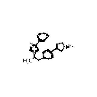 CC(C)N1CCC(c2ccc(CC(C)n3cnc(-c4ccccc4)c3)cc2)C1